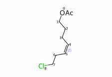 CC(=O)OCCC/C=C\CCCl